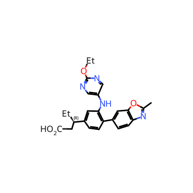 CCOc1ncc(Nc2cc([C@H](CC)CC(=O)O)ccc2-c2ccc3nc(C)oc3c2)cn1